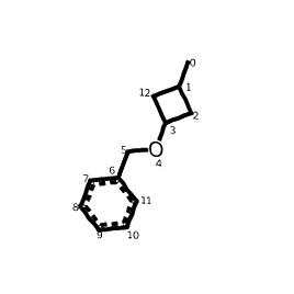 CC1CC(OCc2ccccc2)C1